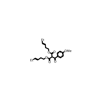 CC/C=C/CCOC(=O)C(C(=O)OCC/C=C/CC)C(=O)c1ccc(OC)cc1